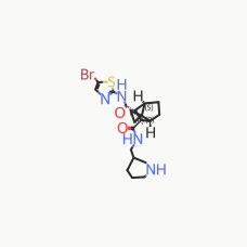 O=C(NCC1CCCNC1)[C@H]1[C@H](C(=O)Nc2ncc(Br)s2)[C@@H]2CC[C@H]1C21CC1